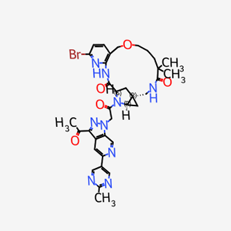 CC(=O)c1nn(CC(=O)N2[C@H]3C[C@@]4(CNC(=O)C(C)(C)CCCOCc5ccc(Br)nc5NC3=O)C[C@@H]24)c2cnc(-c3cnc(C)nc3)cc12